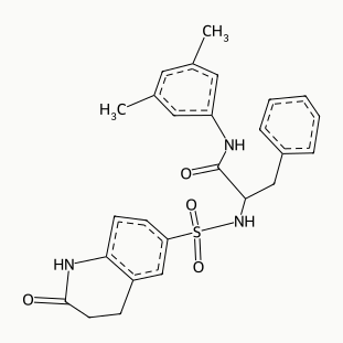 Cc1cc(C)cc(NC(=O)C(Cc2ccccc2)NS(=O)(=O)c2ccc3c(c2)CCC(=O)N3)c1